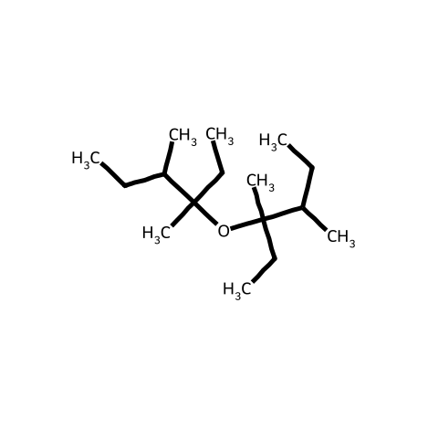 CCC(C)C(C)(CC)OC(C)(CC)C(C)CC